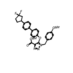 COC(=O)c1nnn(Cc2ccc(OC)cc2)c1Oc1ccc(-c2ccc(C3CCC(F)(F)C3)cc2)cc1